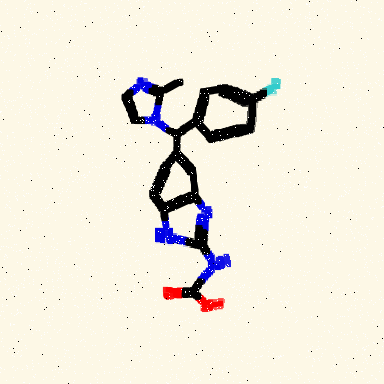 Cc1nccn1C(c1ccc(F)cc1)c1ccc2[nH]c(NC(=O)O)nc2c1